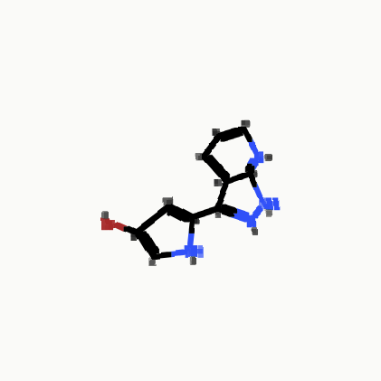 Brc1c[nH]c(-c2n[nH]c3ncccc23)c1